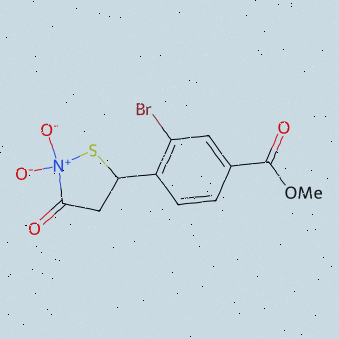 COC(=O)c1ccc(C2CC(=O)[N+]([O-])([O-])S2)c(Br)c1